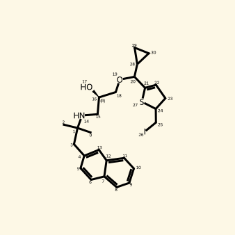 CC(C)(Cc1ccc2ccccc2c1)NC[C@@H](O)COC(C1=CCC(CI)S1)C1CC1